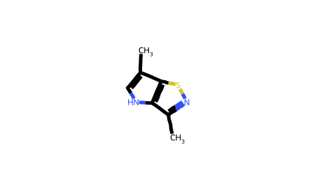 Cc1nsc2c(C)c[nH]c12